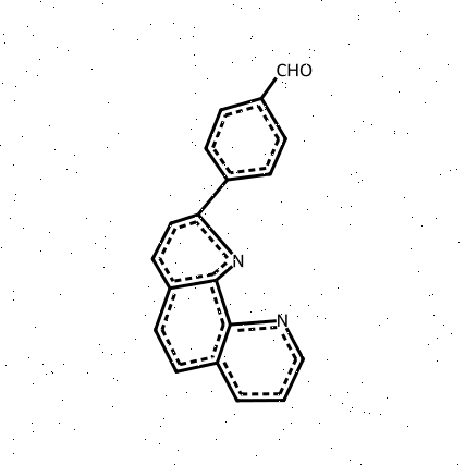 O=Cc1ccc(-c2ccc3ccc4cccnc4c3n2)cc1